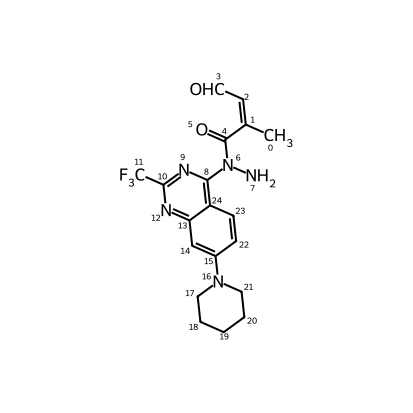 C/C(=C/C=O)C(=O)N(N)c1nc(C(F)(F)F)nc2cc(N3CCCCC3)ccc12